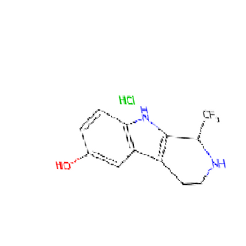 Cl.Oc1ccc2[nH]c3c(c2c1)CCNC3C(F)(F)F